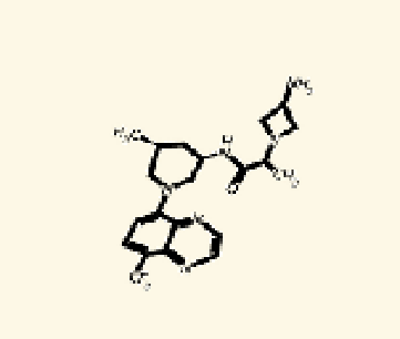 CC(C(=O)N[C@@H]1C[C@H](C)CN(c2ccc(C(F)(F)F)c3nccnc23)C1)N1CC(N)C1